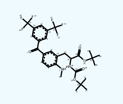 CNc1ccc(C(=O)c2cc(C(F)(F)F)cc(C(F)(F)F)c2)cc1CC(NC(=O)OC(C)(C)C)C(=O)OC(C)(C)C